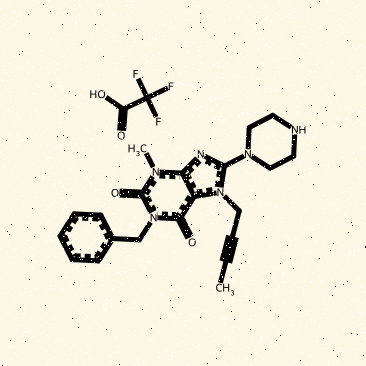 CC#CCn1c(N2CCNCC2)nc2c1c(=O)n(Cc1ccccc1)c(=O)n2C.O=C(O)C(F)(F)F